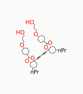 CCCC1CCC(C#CC#CC2(OC(=O)C3CCC(OCCCO)CC3)CCC(CCC)CC2)(OC(=O)C2CCC(OCCCO)CC2)CC1